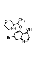 CC(Oc1cc(Br)cc2ncnc(O)c12)C1COCCN1